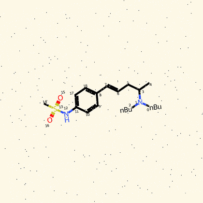 CCCCN(CCCC)C(C)CC=Cc1ccc(NS(C)(=O)=O)cc1